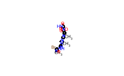 C[C@@H]1C[C@H](N2CCN(c3ccc(Nc4cc(Br)cn(C)c4=O)nc3)[C@@H](C)C2)CCN1c1ccc2c(c1)C(=O)N(C1CCC(=O)NC1=O)C2=O